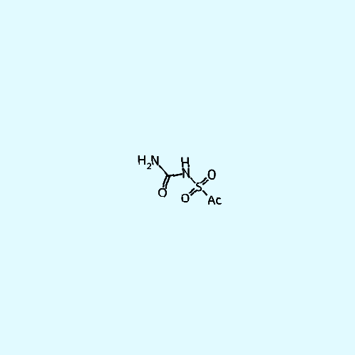 CC(=O)S(=O)(=O)NC(N)=O